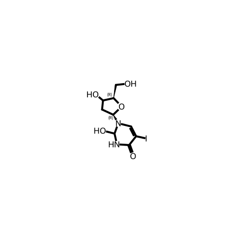 O=C1NC(O)N([C@H]2CC(O)[C@@H](CO)O2)C=C1I